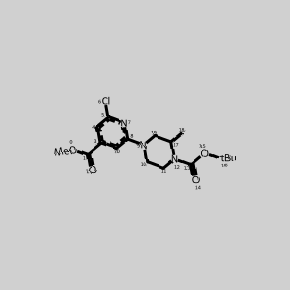 COC(=O)c1cc(Cl)nc(N2CCN(C(=O)OC(C)(C)C)C(C)C2)c1